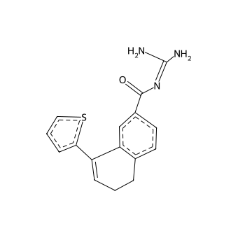 NC(N)=NC(=O)c1ccc2c(c1)C(c1cccs1)=CCC2